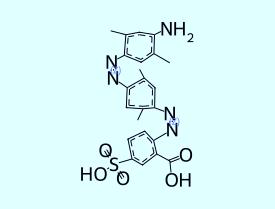 Cc1cc(/N=N\c2cc(C)c(/N=N\c3ccc(S(=O)(=O)O)cc3C(=O)O)cc2C)c(C)cc1N